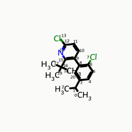 CC(C)c1ccc(Cl)c(-c2ccc(Cl)nc2C(C)(C)C)c1